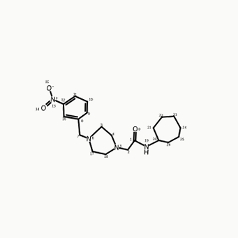 O=C(CN1CCN(Cc2cccc([N+](=O)[O-])c2)CC1)NC1CCCCCC1